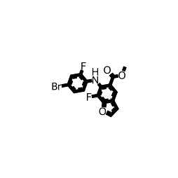 COC(=O)c1cc2ccoc2c(F)c1Nc1ccc(Br)cc1F